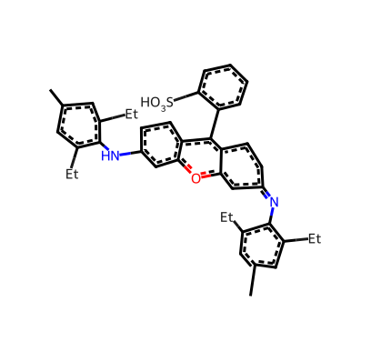 CCc1cc(C)cc(CC)c1/N=c1/ccc2c(-c3ccccc3S(=O)(=O)O)c3ccc(Nc4c(CC)cc(C)cc4CC)cc3oc-2c1